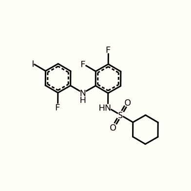 O=S(=O)(Nc1ccc(F)c(F)c1Nc1ccc(I)cc1F)C1CCCCC1